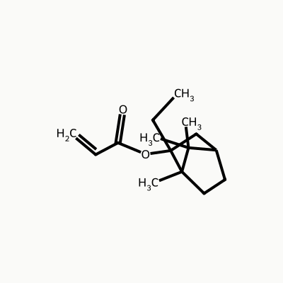 C=CC(=O)OC1(CC)CC2CCC1(C)C2(C)C